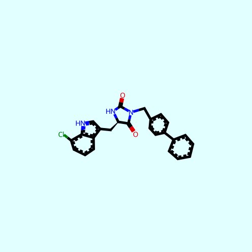 O=C1N[C@H](Cc2c[nH]c3c(Cl)cccc23)C(=O)N1Cc1ccc(-c2ccccc2)cc1